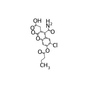 CCCC(=O)Oc1cc2oc(=O)c(CC(=O)O)c(C(N)=O)c2cc1Cl